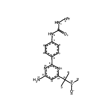 CCCNC(=O)Nc1ccc(-c2nc(N)cc(C(C)(C)[S+](C)[O-])n2)cc1